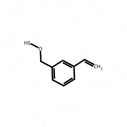 C=Cc1cccc(COS)c1